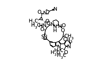 CCO[C@@H]1c2nc(cs2)-c2ccc3c(c2)c(c(-c2cccnc2[C@H](C)OC)n3CC)CC(C)(C)COC(=O)[C@@H]2CCCN(N2)C(=O)[C@H]1NC(=O)[C@@H]1[C@@H](C)[C@H]1C(=O)N1CC(C#N)C1